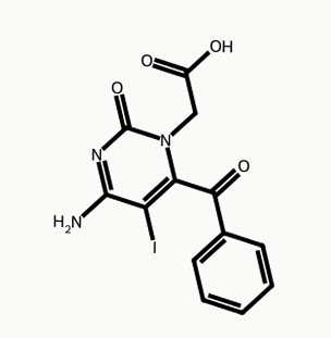 Nc1nc(=O)n(CC(=O)O)c(C(=O)c2ccccc2)c1I